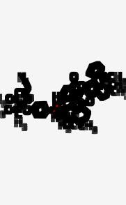 CC(=O)N1c2c(-c3ccccc3)cc3c(c2CCC1(C)C)Oc1c(cc(-c2ccccc2)c2c1CCC(C)(C)N2C(C)=O)C31OC(=O)c2ccc(C(=O)NCc3ccc(OP(OCCC#N)N(C(C)C)C(C)C)cc3)cc21